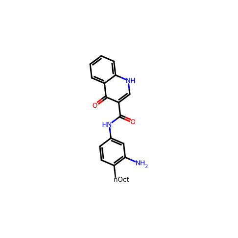 CCCCCCCCc1ccc(NC(=O)c2c[nH]c3ccccc3c2=O)cc1N